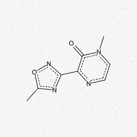 Cc1nc(-c2nccn(C)c2=O)no1